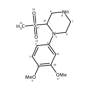 COc1ccc(N2CCNCC2S(C)(=O)=O)cc1OC